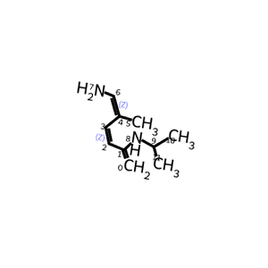 C=C(/C=C\C(C)=C/N)NC(C)C